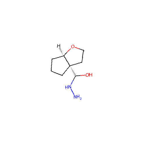 NNC(O)[C@]12CCC[C@H]1OCC2